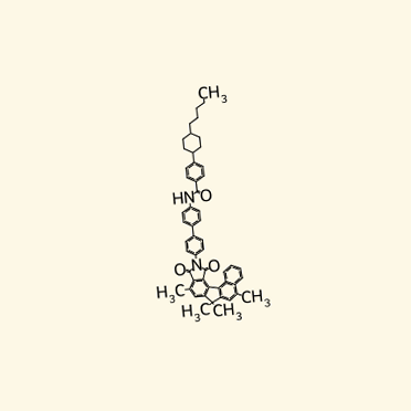 CCCCCC1CCC(c2ccc(C(=O)Nc3ccc(-c4ccc(N5C(=O)c6c(C)cc7c(c6C5=O)-c5c(cc(C)c6ccccc56)C7(C)C)cc4)cc3)cc2)CC1